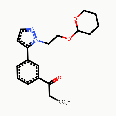 O=C(O)CC(=O)c1cccc(-c2ccnn2CCOC2CCCCO2)c1